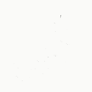 Cc1cc(-c2nc(C(=O)Nc3cn([C@H]4CC[C@H](C=O)CC4)nc3C(F)F)co2)ccn1